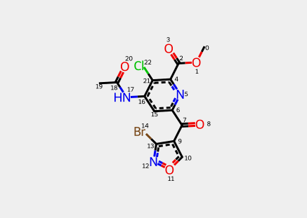 COC(=O)c1nc(C(=O)c2conc2Br)cc(NC(C)=O)c1Cl